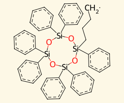 [CH2]CCC[Si]1(c2ccccc2)O[Si](c2ccccc2)(c2ccccc2)O[Si](c2ccccc2)(c2ccccc2)O[Si](c2ccccc2)(c2ccccc2)O1